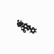 CC(=O)c1c(OS(=O)(=O)C(F)(F)F)ccc2nn(C3CCCCO3)cc12